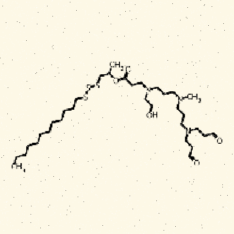 CCCCCCCCCCCCSSSCC(C)OC(=O)CCN(CCO)CCCN(C)CCCN(CCC=O)CCC=O